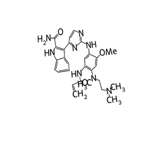 C=CC(=O)Nc1cc(Nc2nccc(-c3c(C(N)=O)[nH]c4ccccc34)n2)c(OC)cc1N(C)CCN(C)C